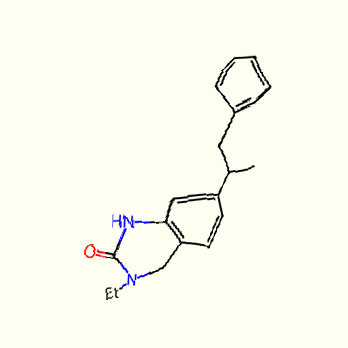 CCN1Cc2ccc(C(C)Cc3ccccc3)cc2NC1=O